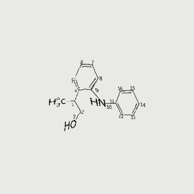 CC(CO)c1ccccc1Nc1ccccc1